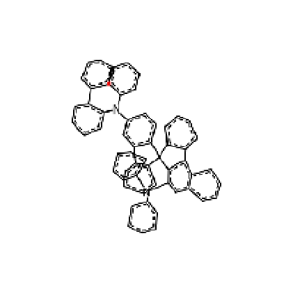 c1ccc(-c2ccccc2N(c2ccccc2)c2ccc3c(c2)-c2ccccc2C32c3ccccc3-c3c2c(N(c2ccccc2)c2ccccc2)cc2ccccc32)cc1